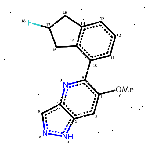 COc1cc2[nH]ncc2nc1-c1cccc2c1CC(F)C2